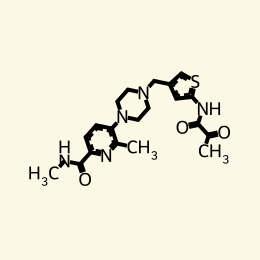 CNC(=O)c1ccc(N2CCN(Cc3csc(NC(=O)C(C)=O)c3)CC2)c(C)n1